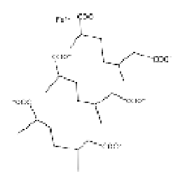 CC(CCC(C)C(=O)[O-])CC(=O)[O-].CC(CCC(C)C(=O)[O-])CC(=O)[O-].CC(CCC(C)C(=O)[O-])CC(=O)[O-].[Fe+6]